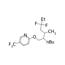 CCCCC(COc1ccc(C(F)(F)F)cn1)C(C)CC(F)(F)CC